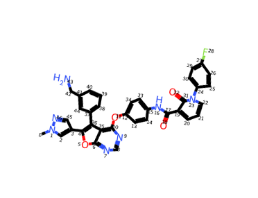 Cn1cc(-c2oc3ncnc(Oc4ccc(NC(=O)c5cccn(-c6ccc(F)cc6)c5=O)cc4)c3c2-c2cccc(CN)c2)cn1